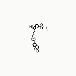 COC(=O)c1ccc2[nH]cc(CCCCN3CCN(c4ccc5oc(=O)ccc5c4)CC3)c2c1